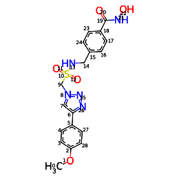 COc1ccc(-c2cn(CS(=O)(=O)NCc3ccc(C(=O)NO)cc3)nn2)cc1